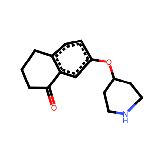 O=C1CCCc2ccc(OC3CCNCC3)cc21